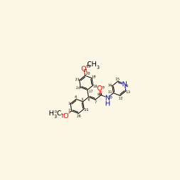 COc1ccc(C(=CC(=O)Nc2ccncc2)c2ccc(OC)cc2)cc1